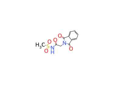 CS(=O)(=O)NC(=O)CN1C(=O)c2ccccc2C1=O